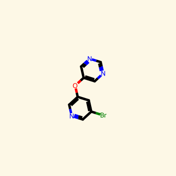 Brc1cncc(Oc2cncnc2)c1